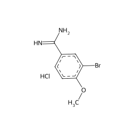 COc1ccc(C(=N)N)cc1Br.Cl